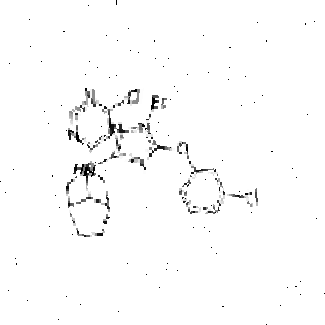 CCn1nc(NC2C3CCC2CN(c2cc(Cl)ncn2)C3)nc1Oc1cccc(Cl)c1